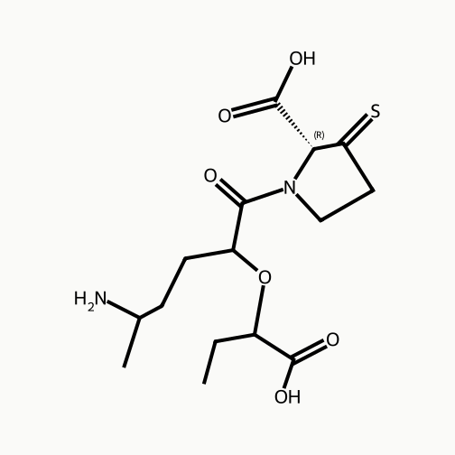 CCC(OC(CCC(C)N)C(=O)N1CCC(=S)[C@H]1C(=O)O)C(=O)O